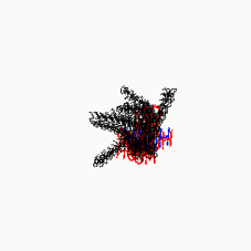 CCCCCCCCCCCCCC(=O)O[C@H](CCCCCCCCCCC)CC(=O)NCC(CC)(CO)CO[C@H]1OC(CO)[C@@H](OP(=O)(O)O)[C@H](OC(=O)C[C@@H](CCCCCCCCCCC)OC(=O)CCCCCCCCCCCCC)C1NC(=O)C[C@@H](CCCCCCCCCCC)OC(=O)CCCCCCCCCCCCC